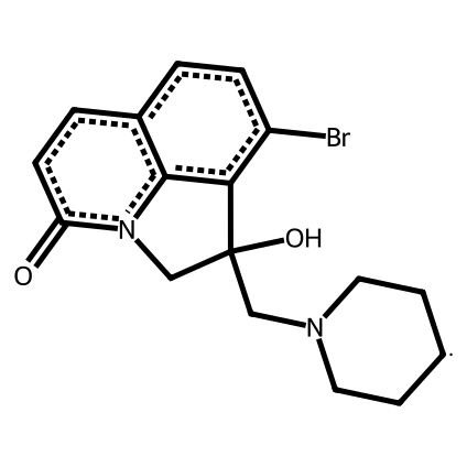 O=c1ccc2ccc(Br)c3c2n1CC3(O)CN1CC[CH]CC1